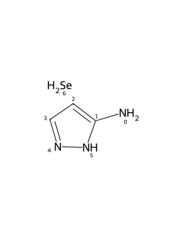 Nc1ccn[nH]1.[SeH2]